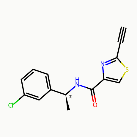 C#Cc1nc(C(=O)N[C@@H](C)c2cccc(Cl)c2)cs1